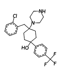 OC1(c2ccc(C(F)(F)F)cc2)CCC(Cc2ccccc2Cl)(N2CCNCC2)CC1